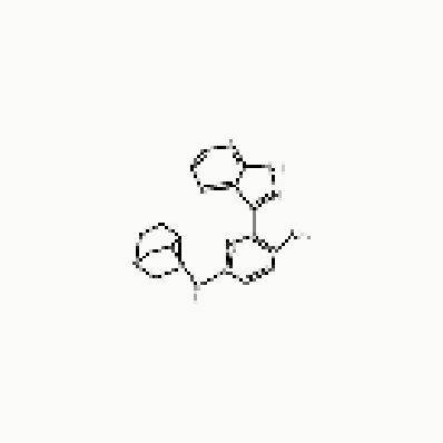 FC(F)(F)c1ccc(NC2CN3CCC2CC3)nc1-c1n[nH]c2ncccc12